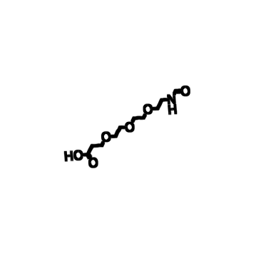 O=CNCCOCCOCCOCCC(=O)O